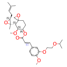 COc1ccc(/C=C/C(=O)O[C@@H]2CCC3(CO3)[C@@H](C3(C)O[C@H]3CC=C(C)C)[C@@H]2OC)cc1OCCOC(C)C